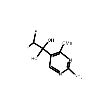 COc1nc(N)ncc1C(O)(O)C(F)F